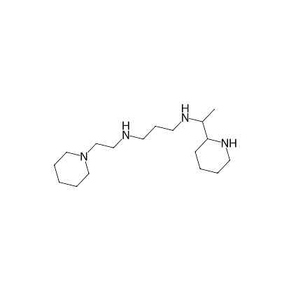 CC(NCCCNCCN1CCCCC1)C1CCCCN1